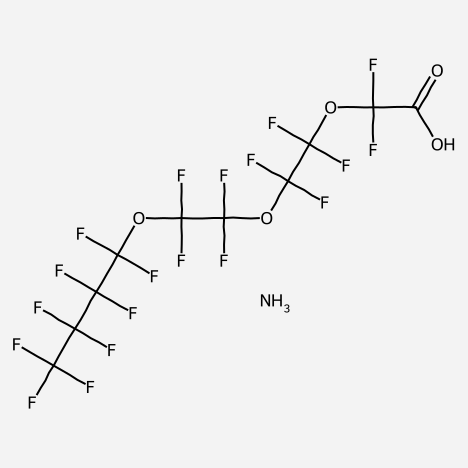 N.O=C(O)C(F)(F)OC(F)(F)C(F)(F)OC(F)(F)C(F)(F)OC(F)(F)C(F)(F)C(F)(F)C(F)(F)F